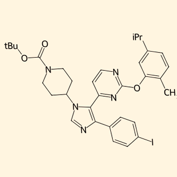 Cc1ccc(C(C)C)cc1Oc1nccc(-c2c(-c3ccc(I)cc3)ncn2C2CCN(C(=O)OC(C)(C)C)CC2)n1